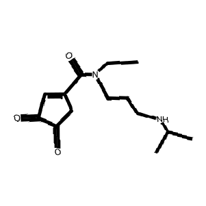 CCN(CCCNC(C)C)C(=O)C1=CC(=O)C(=O)C1